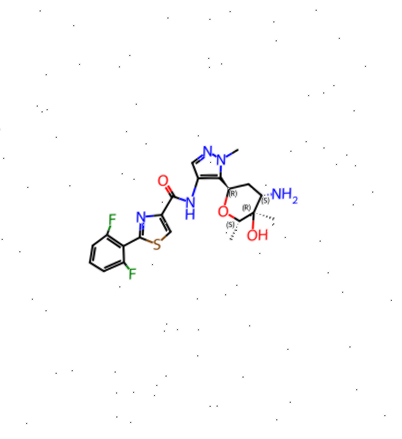 C[C@@H]1O[C@@H](c2c(NC(=O)c3csc(-c4c(F)cccc4F)n3)cnn2C)C[C@H](N)[C@@]1(C)O